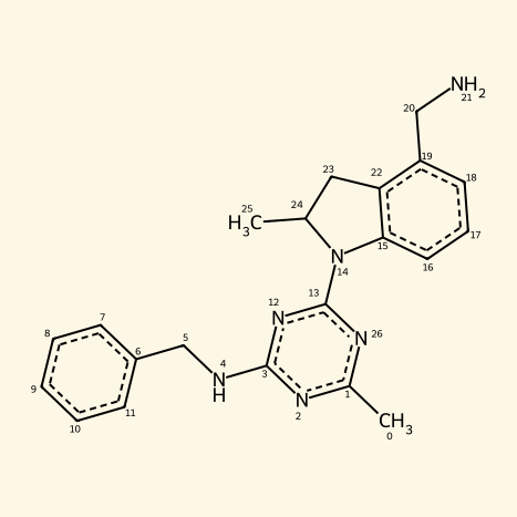 Cc1nc(NCc2ccccc2)nc(N2c3cccc(CN)c3CC2C)n1